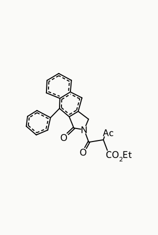 CCOC(=O)C(C(C)=O)C(=O)N1Cc2cc3ccccc3c(-c3ccccc3)c2C1=O